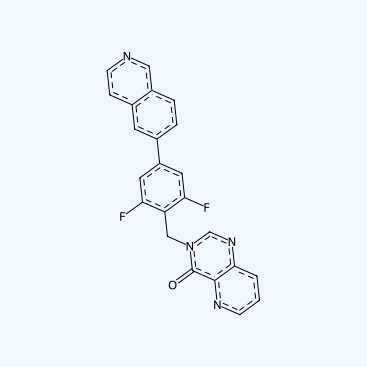 O=c1c2ncccc2ncn1Cc1c(F)cc(-c2ccc3cnccc3c2)cc1F